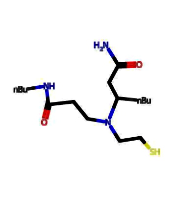 CCCCNC(=O)CCN(CCS)C(CCCC)CC(N)=O